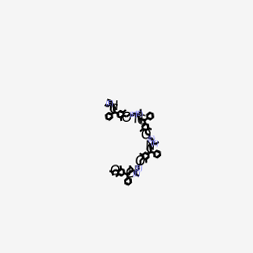 C=C/C(=C\C)N=C=C(c1ccccc1)c1cc(C)c(OC/C=C/C(=C\C)N=C=C(c2ccccc2)c2cc(C)c(OC/C=C/C(=C\C)N=C=C(c3ccccc3)c3cc(C)c(OC/C=C/C(=C\C)N=C=C(c4ccccc4)c4cc(C)c(OC(C)C)c(C)c4)c(C)c3)c(C)c2)c(C)c1